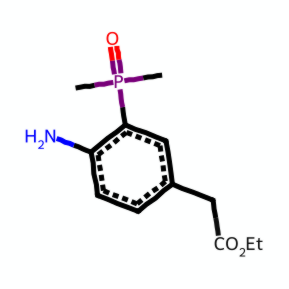 CCOC(=O)Cc1ccc(N)c(P(C)(C)=O)c1